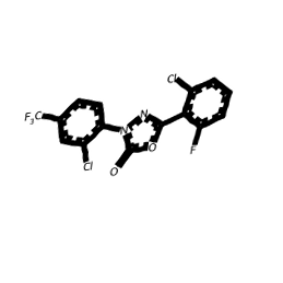 O=c1oc(-c2c(F)cccc2Cl)nn1-c1ccc(C(F)(F)F)cc1Cl